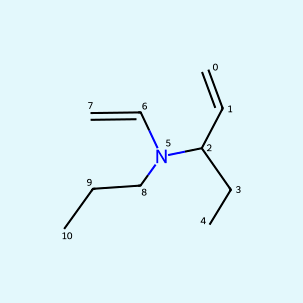 C=CC(CC)N(C=C)CCC